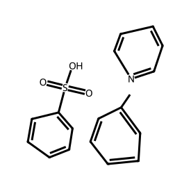 Cc1ccccc1.O=S(=O)(O)c1ccccc1.c1ccncc1